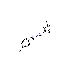 Cc1ccc(/C=C/C=C/C2=N[C@@H](C)CS2)cc1